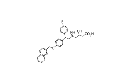 N=C(CC(O)CC(=O)O)CC(c1ccc(F)cc1)c1ccc(OCc2ccc3ccccc3n2)cc1